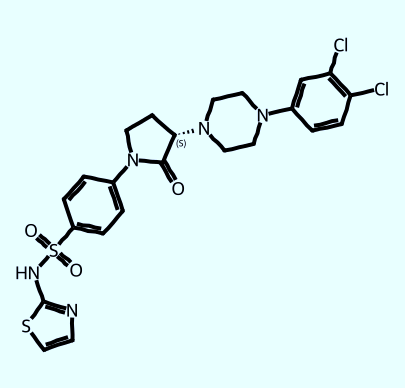 O=C1[C@@H](N2CCN(c3ccc(Cl)c(Cl)c3)CC2)CCN1c1ccc(S(=O)(=O)Nc2nccs2)cc1